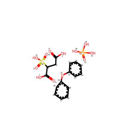 O=C(O)CC(C(=O)O)S(=O)(=O)O.O=P(O)(O)O.c1ccc(Oc2ccccc2)cc1